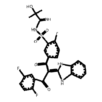 CC(C)(O)C(=N)NS(=O)(=O)c1cc(C(=O)C(C(=O)c2cc(F)ccc2F)=C2Nc3ccccc3N2)ccc1F